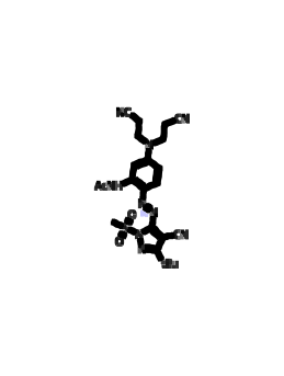 CC(=O)Nc1cc(N(CCC#N)CCC#N)ccc1/N=N/c1c(C#N)c(C(C)(C)C)nn1S(C)(=O)=O